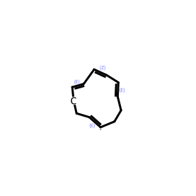 [C]1=C/CC/C=C/C=C\C=C\CC/1